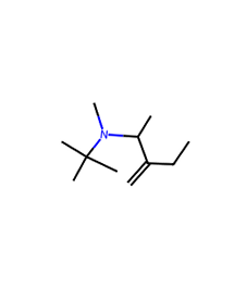 C=C(CC)C(C)N(C)C(C)(C)C